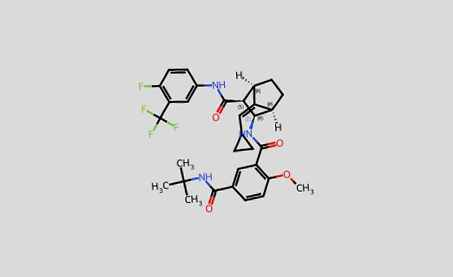 COc1ccc(C(=O)NC(C)(C)C)cc1C(=O)N[C@H]1[C@@H](C(=O)Nc2ccc(F)c(C(F)(F)F)c2)[C@H]2CC[C@@H]1/C2=C\C1CC1